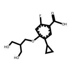 O=C(O)c1cc(C2CC2)c(OCC(CO)CO)cc1F